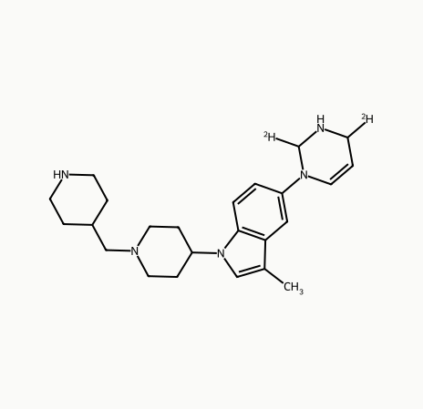 [2H]C1C=CN(c2ccc3c(c2)c(C)cn3C2CCN(CC3CCNCC3)CC2)C([2H])N1